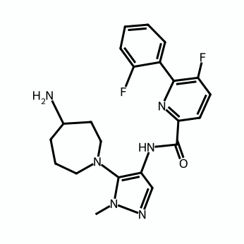 Cn1ncc(NC(=O)c2ccc(F)c(-c3ccccc3F)n2)c1N1CCCC(N)CC1